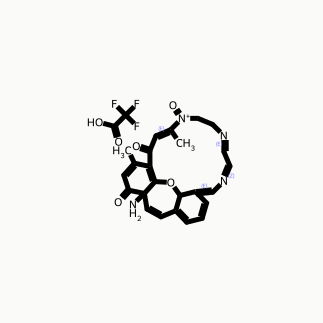 CC1=CC(=O)C2(N)C=CC3=CC=C\C4=C/N=C\C=N\CC[N+](=O)/C(C)=C/C(=O)C1=C2OC34.O=C(O)C(F)(F)F